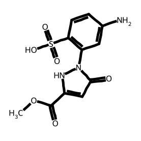 COC(=O)c1cc(=O)n(-c2cc(N)ccc2S(=O)(=O)O)[nH]1